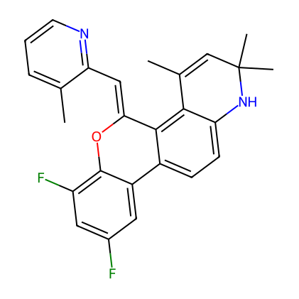 CC1=CC(C)(C)Nc2ccc3c(c21)C(=Cc1ncccc1C)Oc1c(F)cc(F)cc1-3